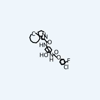 O=C(COc1ccc(Cl)c(F)c1)NC12CCC(NC(=O)c3cc4n(n3)CCCC43CCCCCCCCC3)(CC1)CC2O